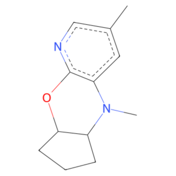 Cc1cnc2c(c1)N(C)C1CCCC1O2